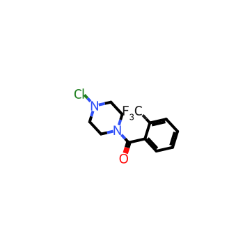 O=C(c1ccccc1C(F)(F)F)N1CCN(Cl)CC1